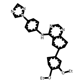 CCOc1ccc(-c2ccc3ncnc(Nc4ccc(-n5cncn5)cc4)c3c2)cc1OCC